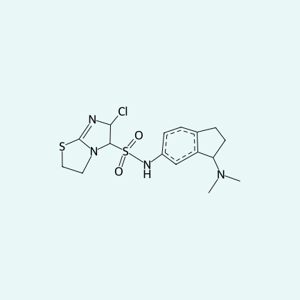 CN(C)C1CCc2ccc(NS(=O)(=O)C3C(Cl)N=C4SCCN43)cc21